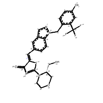 Cc1ccc(Cn2ncc3cc(/C=C4\SC(N5CCOC[C@H]5CO)=NC4=O)ccc32)c(C(F)(F)F)c1